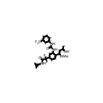 CN/C(=C\C(C)=N)c1ccc(C(F)(F)C(=O)NC2CC2)cc1NC(=O)Nc1cccc(C(F)(F)F)c1